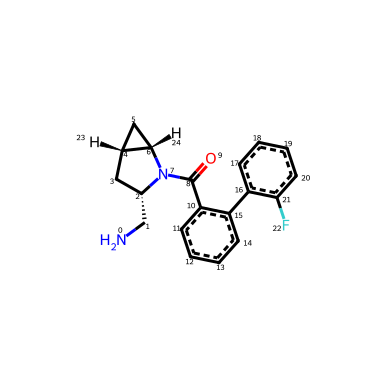 NC[C@@H]1C[C@@H]2C[C@@H]2N1C(=O)c1ccccc1-c1ccccc1F